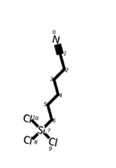 N#CCCCCC[Si](Cl)(Cl)Cl